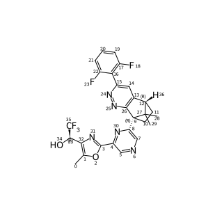 Cc1oc(-c2cncc([C@]34CC[C@@H](c5cc(-c6c(F)cccc6F)nnc53)C4(C)C)n2)nc1[C@@H](O)C(F)(F)F